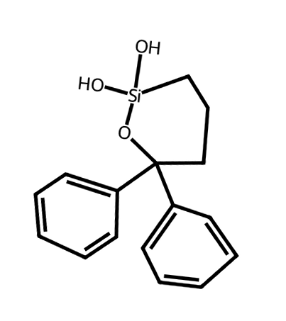 O[Si]1(O)CCCC(c2ccccc2)(c2ccccc2)O1